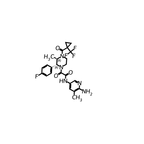 Cc1cc(NC(=O)C(=O)N2CCN(C(=O)C3(C(F)(F)F)CC3)[C@H](C)[C@H]2c2ccc(F)cc2)cnc1N